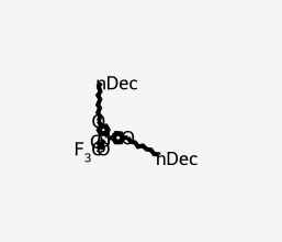 CCCCCCCCCCCCCCCCCCOc1ccc([I+]c2ccc(OCCCCCCCCCCCCCCCCCC)cc2)cc1.O=S(=O)([O-])C(F)(F)F